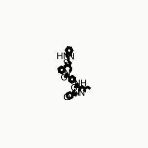 CCc1cnc(N2CC3(CCOCC3)C2)c(C(=O)Nc2ccc(C(=O)N3CCc4cc(-c5nc6ccccc6[nH]5)sc4-c4ccccc43)cc2)c1